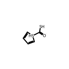 O=C(S)[SH]1C=CC=C1